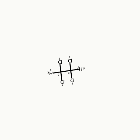 [2H]C(Cl)(Cl)C([2H])(Cl)Cl